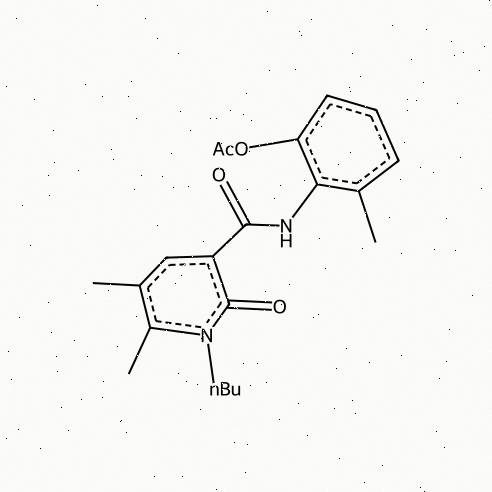 CCCCn1c(C)c(C)cc(C(=O)Nc2c(C)cccc2OC(C)=O)c1=O